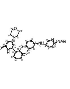 CNc1ncc(CNc2ccc3c(c2)Sc2cccc(-c4cc(N5CCOCC5)cc(=O)[nH]4)c2S3)cn1